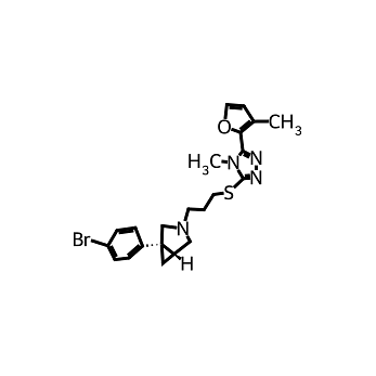 Cc1ccoc1-c1nnc(SCCCN2C[C@@H]3C[C@@]3(c3ccc(Br)cc3)C2)n1C